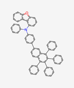 c1ccc(-c2c(-c3ccccc3)c(-c3ccccc3)c3cc(-c4ccc(N(c5ccccc5)c5cccc6oc7ccccc7c56)cc4)ccc3c2-c2ccccc2)cc1